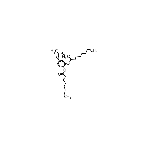 CCCCCCCC(=O)Oc1ccc(OC(C)C)cc1OC(=O)CCCCCCC